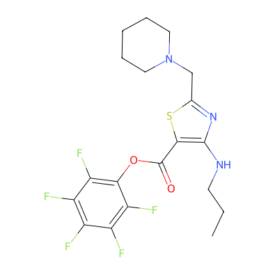 CCCNc1nc(CN2CCCCC2)sc1C(=O)Oc1c(F)c(F)c(F)c(F)c1F